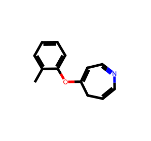 Cc1ccccc1OC1=CC=NC=CC1